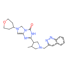 CC1CN(Cc2cc3ccccc3nn2)CC1C1=NC2=CN(C3CCOCC3)CN2C(=O)N1